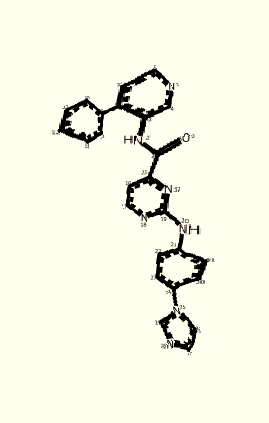 O=C(Nc1cnccc1-c1ccccc1)c1ccnc(Nc2ccc(-n3ccnc3)cc2)n1